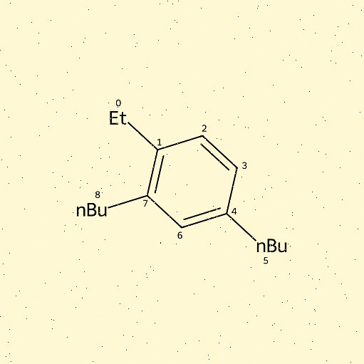 [CH2]Cc1ccc(CCCC)cc1CCCC